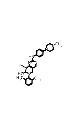 Cc1cccc(C)c1N1Cc2cnc(Nc3ccc(N4CCN(C)CC4)cc3)nc2N(C(C)C)C1O